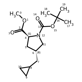 COC(=O)[C@@H]1C[C@@H](CC2CC2)CN1C(=O)OC(C)(C)C